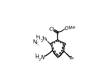 COC(=O)c1cc(Br)cc(N)c1N.[N]